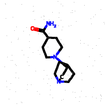 NC(=O)C1CCN(C2CN3CCC2CC3)CC1